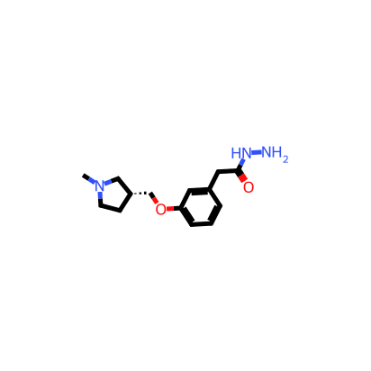 CN1CC[C@@H](COc2cccc(CC(=O)NN)c2)C1